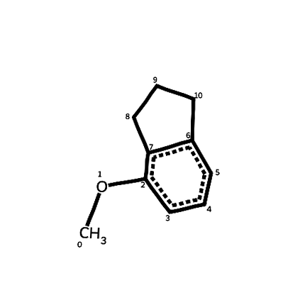 COc1[c]ccc2c1CCC2